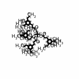 C=CCc1cc(CCC(=O)OCC(COC(=O)CCc2cc(CC=C)c(O)c(C(C)(C)C)c2)(COC(=O)CCc2cc(CC=C)c(O)c(C(C)(C)C)c2)COC(=O)CCc2cc(CC=C)c(O)c(C(C)(C)C)c2)cc(C(C)(C)C)c1O